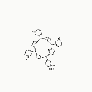 CN1C=CC=C(c2c3nc(c(C4=CC=CN(C)C4)c4ccc(s4)c(C4=CC=CN(C)C4)c4nc(c(C5=CC=CN(C)C5)c5ccc2s5)C=C4)C=C3)C1.Cl